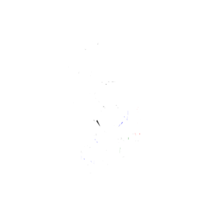 CCS(=O)(=O)N[C@@H]1[C@H](Cc2cccc(-c3cccc(F)c3)c2F)N(C(=O)N(C)N(C)C)CC1(F)F